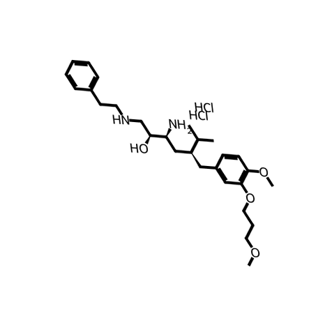 COCCCOc1cc(C[C@@H](C[C@H](N)[C@@H](O)CNCCc2ccccc2)C(C)C)ccc1OC.Cl.Cl